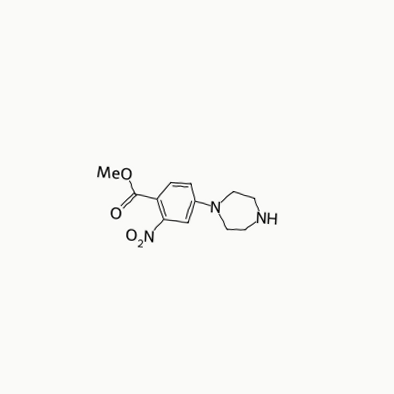 COC(=O)c1ccc(N2CCNCC2)cc1[N+](=O)[O-]